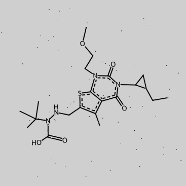 CCC1CC1n1c(=O)c2c(C)c(CNN(C(=O)O)C(C)(C)C)sc2n(CCOC)c1=O